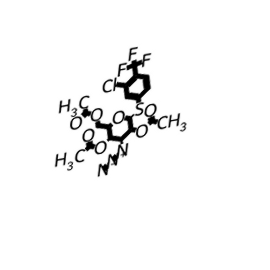 CC(=O)OCC1O[C@H](Sc2ccc(C(F)(F)F)c(Cl)c2)C(OC(C)=O)[C@@H](N=[N+]=[N-])[C@H]1OC(C)=O